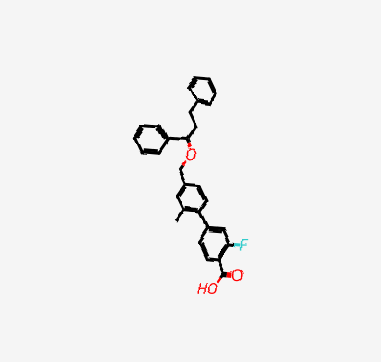 Cc1cc(COC(CCc2ccccc2)c2ccccc2)ccc1-c1ccc(C(=O)O)c(F)c1